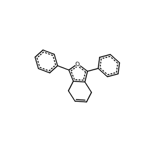 C1=CCc2c(-c3ccccc3)oc(-c3ccccc3)c2C1